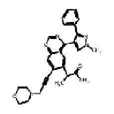 CC(C(N)=O)c1cc2c(-c3cn(C)nc3-c3ccccc3)ncnc2cc1C#CCN1CCOCC1